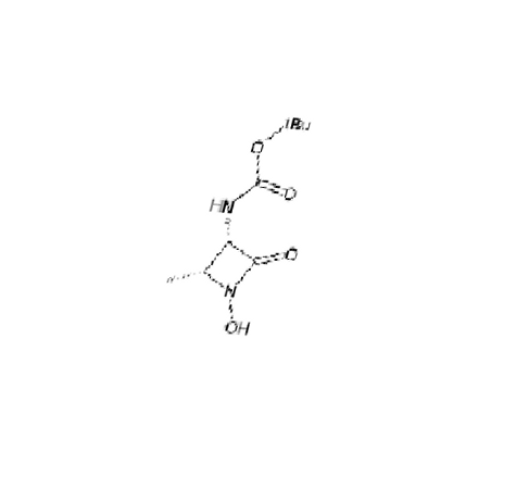 C[C@@H]1[C@H](NC(=O)OC(C)(C)C)C(=O)N1O